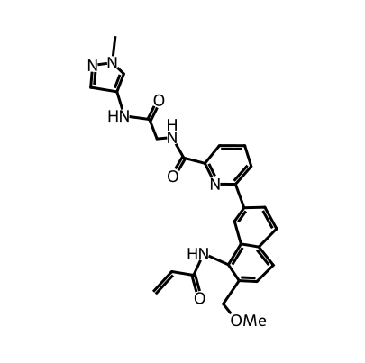 C=CC(=O)Nc1c(COC)ccc2ccc(-c3cccc(C(=O)NCC(=O)Nc4cnn(C)c4)n3)cc12